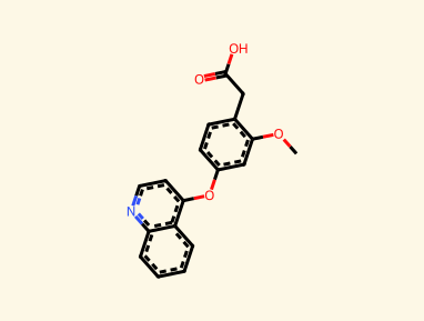 COc1cc(Oc2ccnc3ccccc23)ccc1CC(=O)O